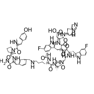 CN[C@@H](Cc1ccc(O)cc1)C(=O)N1CCC[C@@]1(C)C(=O)N[C@@H](Cc1ccc(CNCCCC[C@H](NC(C)=O)C(=O)N[C@@H](C)C(=O)NCC(=O)N[C@@H](Cc2c[nH]c3ccc(F)cc23)C(=O)N[C@@H](Cc2c[nH]c3cc(F)ccc23)C(=O)N[C@@H](CC(=O)O)C(=O)N[C@H](C=O)Cc2cnc[nH]2)cc1)C(N)=O